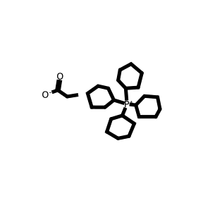 C1CCC([P+](C2CCCCC2)(C2CCCCC2)C2CCCCC2)CC1.CCC(=O)[O-]